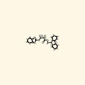 O=C(NC(Cc1nc2ccccc2o1)C(=O)O)OCC1c2ccccc2-c2ccccc21